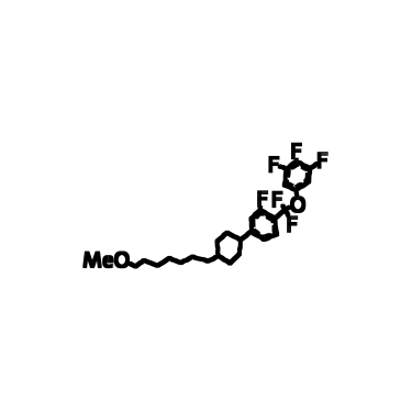 COCCCCCCCC1CCC(c2ccc(C(F)(F)Oc3cc(F)c(F)c(F)c3)c(F)c2)CC1